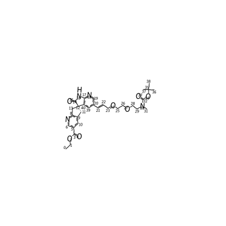 CCOC(=O)c1cnc2c(c1)C[C@]1(C2)C(=O)Nc2ncc(/C=C/COCCOCCN(C)C(=O)OC(C)(C)C)cc21